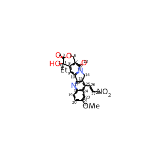 CC[C@@]1(O)C(=O)OCc2c1cc1n(c2=O)Cc2c-1nc1ccc(OC)cc1c2C=C[N+](=O)[O-]